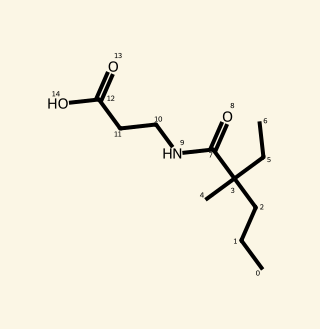 CCCC(C)(CC)C(=O)NCCC(=O)O